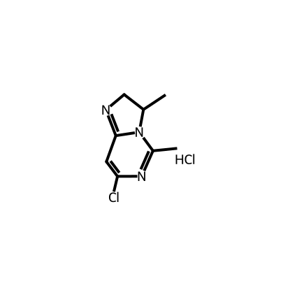 CC1=NC(Cl)=CC2=NCC(C)N12.Cl